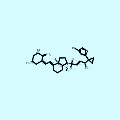 C=C1/C(=C\C=C2/CCC[C@]3(C)[C@@H](C(C)(C)/C=C/[C@H](O)C4(c5nc(CC)cs5)CC4)CC[C@@H]23)C[C@@H](O)C[C@@H]1O